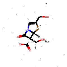 C[C@@H](O)[C@@]1(C(=O)[O-])C(=O)N2C=C(CO)S[C@@H]21.[Na+]